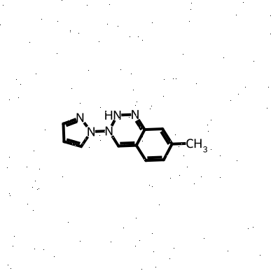 Cc1ccc2c(c1)=NNN(n1cccn1)C=2